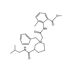 COC(=O)c1cccc(C)c1NC(=O)C[N+]1(Cc2ccccc2)CCCC(C(=O)NCC(C)C)C1